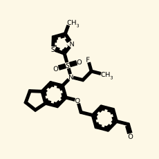 Cc1csc(S(=O)(=O)N(CC(C)F)c2cc3c(cc2OCc2ccc(C=O)cc2)CCC3)n1